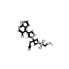 CCS(=O)(=O)N1CC(CC#N)(n2cc(-c3c(Cl)cnc4[nH]ccc34)cn2)C1